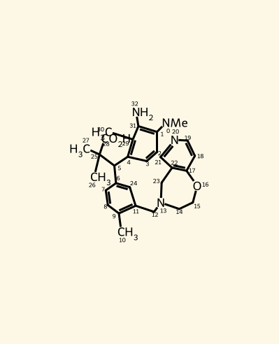 CNc1ccc(C(c2ccc(C)c(CN3CCOc4ccncc4C3)c2)C(C)(C)C(=O)O)c(C)c1N